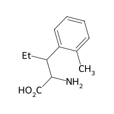 CCC(c1ccccc1C)C(N)C(=O)O